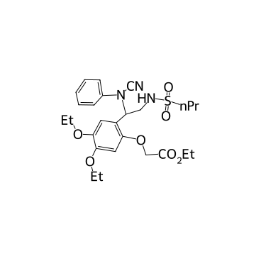 CCCS(=O)(=O)NCC(c1cc(OCC)c(OCC)cc1OCC(=O)OCC)N(C#N)c1ccccc1